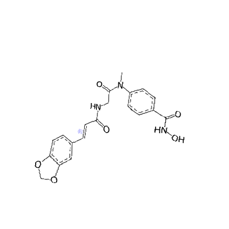 CN(C(=O)CNC(=O)/C=C/c1ccc2c(c1)OCO2)c1ccc(C(=O)NO)cc1